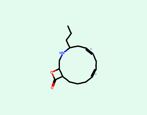 CCCC1C/C=C\C/C=C\CCCC2C(=O)OC2CN1